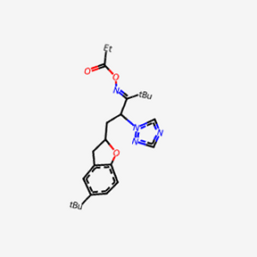 CCC(=O)ON=C(C(CC1Cc2cc(C(C)(C)C)ccc2O1)n1cncn1)C(C)(C)C